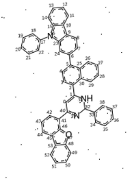 C1=C(c2ccc(-c3ccc4c5ccccc5n(-c5ccccc5)c4c3)c3ccccc23)NC(c2ccccc2)N=C1c1cccc2c1oc1ccccc12